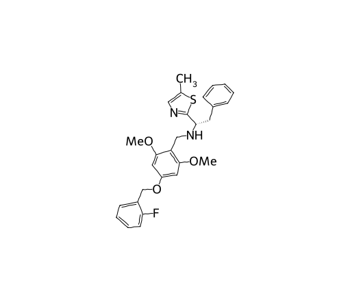 COc1cc(OCc2ccccc2F)cc(OC)c1CN[C@@H](Cc1ccccc1)c1ncc(C)s1